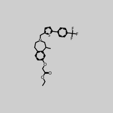 CCOC(=O)COc1ccc2c(c1)C(C)CN(Cc1ccc(-c3ccc(C(F)(F)F)cc3)s1)CC2